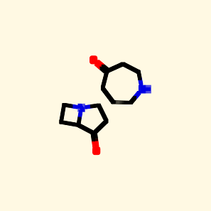 O=C1CCCNCC1.O=C1CCN2CCC12